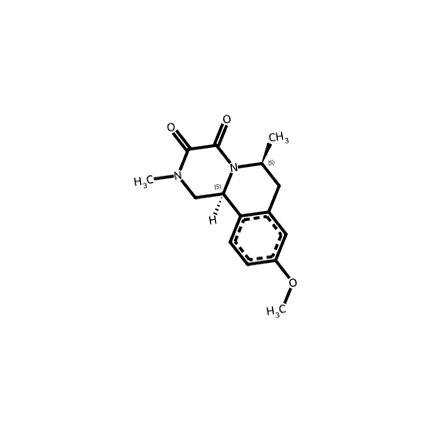 COc1ccc2c(c1)C[C@H](C)N1C(=O)C(=O)N(C)C[C@H]21